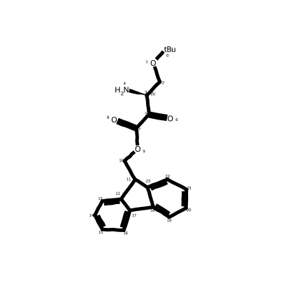 CC(C)(C)OC[C@H](N)C(=O)C(=O)OCC1c2ccccc2-c2ccccc21